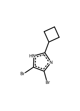 Brc1nc(C2CCC2)[nH]c1Br